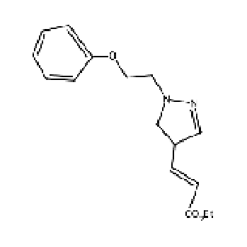 CCOC(=O)/C=C/C1C=NN(CCOc2ccccc2)C1